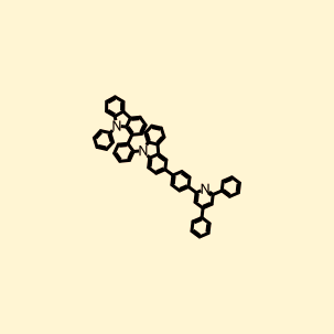 c1ccc(-c2cc(-c3ccccc3)nc(-c3ccc(-c4ccc5c(c4)c4ccccc4n5-c4ccccc4-c4cccc5c6ccccc6n(-c6ccccc6)c45)cc3)c2)cc1